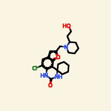 O=C1Nc2c(Cl)cc3cc(CN4CCCCC4CCO)oc3c2C2(CCCCC2)N1